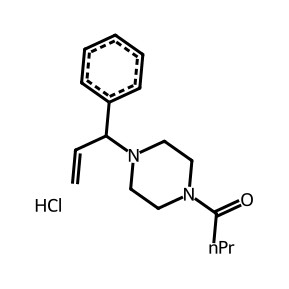 C=CC(c1ccccc1)N1CCN(C(=O)CCC)CC1.Cl